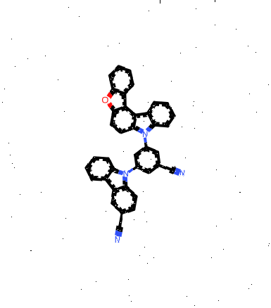 N#Cc1cc(-n2c3ccccc3c3cc(C#N)ccc32)cc(-n2c3ccccc3c3c4c(ccc32)oc2ccccc24)c1